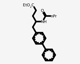 CCCC(=O)NC(CCC(=O)OCC)Cc1ccc(-c2ccccc2)cc1